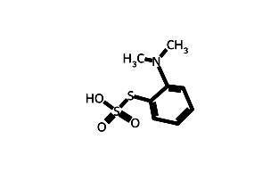 CN(C)c1ccccc1SS(=O)(=O)O